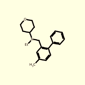 CCN(Cc1cc(C)ccc1-c1ccccc1)C1CCOCC1